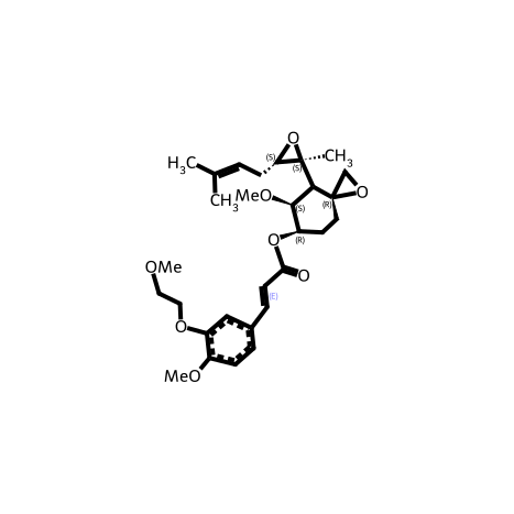 COCCOc1cc(/C=C/C(=O)O[C@@H]2CC[C@]3(CO3)C([C@]3(C)O[C@H]3CC=C(C)C)[C@@H]2OC)ccc1OC